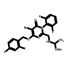 COC(C)NCc1nc(OCc2ccc(F)cc2F)c(Br)c(=O)n1-c1c(F)cccc1F